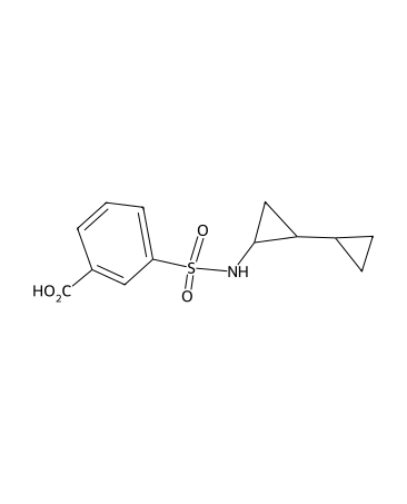 O=C(O)c1cccc(S(=O)(=O)NC2CC2C2CC2)c1